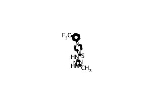 Cc1nc(NC(=S)N2CCN(c3cccc(C(F)(F)F)c3)CC2)n[nH]1